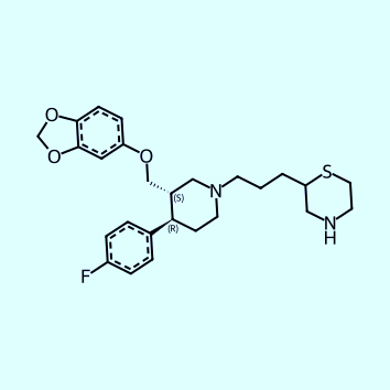 Fc1ccc([C@@H]2CCN(CCCC3CNCCS3)C[C@H]2COc2ccc3c(c2)OCO3)cc1